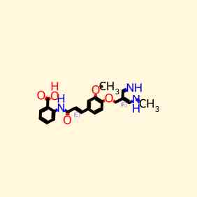 CN/C=C(\C=N)COc1ccc(/C=C/C(=O)Nc2ccccc2C(=O)O)cc1OC